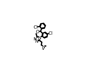 CN(C)CCc1nnc2n1-c1ccc(Cl)cc1C(c1ccccc1Cl)OC2